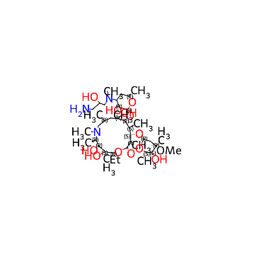 CC[C@H]1OC(=O)[C@H](C)[C@@H](O[C@H]2C[C@@](C)(OC)[C@@H](O)[C@H](C)O2)[C@H](C)[C@@H](O[C@@H]2O[C@H](C)CC(N(C)CC(O)CN)[C@H]2O)[C@](C)(O)C[C@@H](C)CN(C)[C@H](C)[C@@H](O)[C@]1(C)O